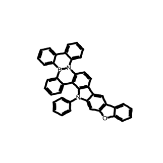 c1ccc(-n2c3cc4oc5ccccc5c4cc3c3ccc4c(c32)-c2ccccc2B2c3ccccc3-c3ccccc3N24)cc1